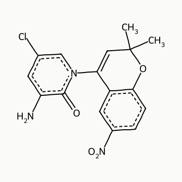 CC1(C)C=C(n2cc(Cl)cc(N)c2=O)c2cc([N+](=O)[O-])ccc2O1